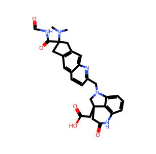 CN(C)C1(C(=O)NC=O)Cc2cc3ccc(CN4CC5(CC(=O)O)CC(=O)Nc6cccc4c65)nc3cc2C1